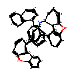 c1ccc2c(c#1)CCC=C2c1cccc(-c2cccc3c2C2C(=CC=CC2NC2C=C(c4cccc5oc6ccccc6c45)C=CC2)O3)c1